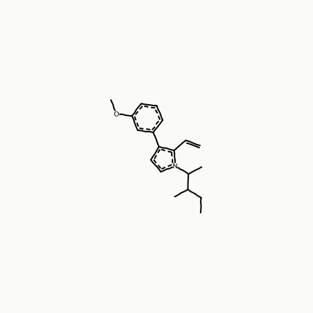 C=Cc1c(-c2cccc(OC)c2)ccn1C(C)C(C)CC